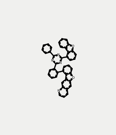 c1ccc(-c2nc(-c3ccccc3-c3cccc4oc5cc6cccnc6cc5c34)nc(-c3cccc4oc5ccccc5c34)n2)cc1